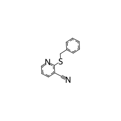 N#Cc1cccnc1SCc1ccccc1